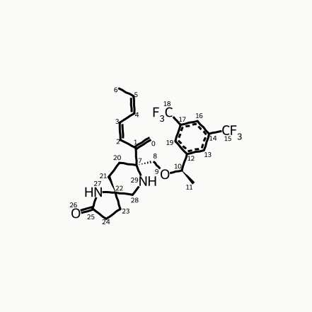 C=C(/C=C\C=C/C)[C@]1(CO[C@H](C)c2cc(C(F)(F)F)cc(C(F)(F)F)c2)CC[C@]2(CCC(=O)N2)CN1